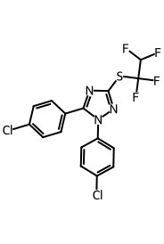 FC(F)C(F)(F)Sc1nc(-c2ccc(Cl)cc2)n(-c2ccc(Cl)cc2)n1